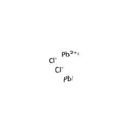 [Cl-].[Cl-].[Pb+2].[Pb]